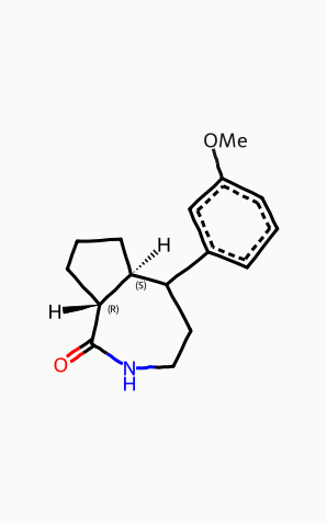 COc1cccc(C2CCNC(=O)[C@@H]3CCC[C@@H]23)c1